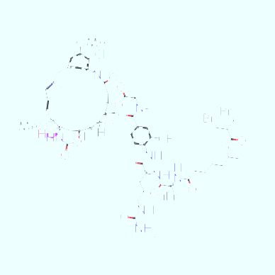 COc1cc2cc(c1Cl)N(C)C(=O)C[C@H](OC(=O)[C@H](C)N(C)C(=O)c1ccc(NC(=O)[C@H](CCCNC(N)=O)NC(=O)[C@@H](NC(=O)CCCCC(C)OC(=O)C(CBr)CBr)C(C)C)c(C(F)(F)F)c1)[C@]1(C)O[C@H]1[C@H](C)[C@@H]1C[C@@](O)(NC(=O)O1)[C@H](OC)/C=C/C=C(\C)C2